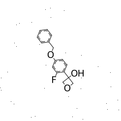 OC1(c2ccc(OCc3ccccc3)cc2F)COC1